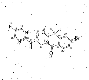 CC1(C)C(=O)N(CC(=O)Nc2ncc(F)cn2)C(=O)c2ccc(Br)cc21